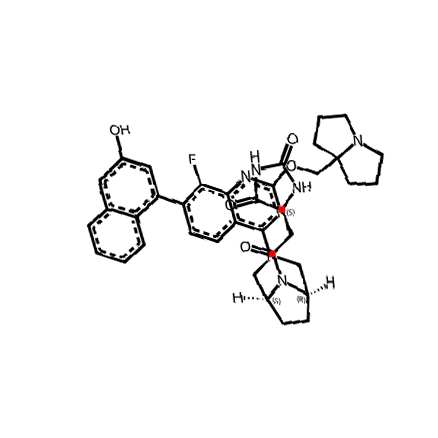 O=C1NC(=O)[C@H](CC(=O)N2[C@@H]3CC[C@H]2CN(c2nc(OCC45CCCN4CCC5)nc4c(F)c(-c5cc(O)cc6ccccc56)ccc24)C3)N1